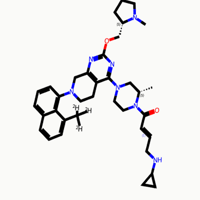 [2H]C([2H])([2H])c1cccc2cccc(N3CCc4c(nc(OC[C@@H]5CCCN5C)nc4N4CCN(C(=O)/C=C/CNC5CC5)[C@@H](C)C4)C3)c12